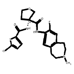 CN1CCc2cc(F)c(NC(=O)[C@@]3(NC(=O)c4ccc(Cl)s4)CCOC3)cc2CC1